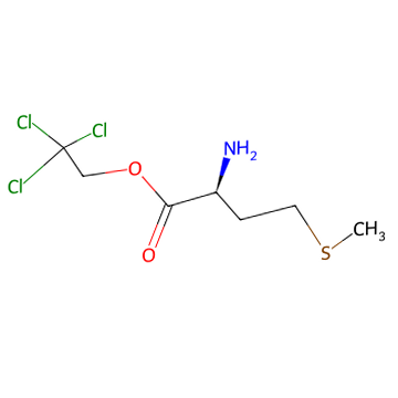 CSCC[C@H](N)C(=O)OCC(Cl)(Cl)Cl